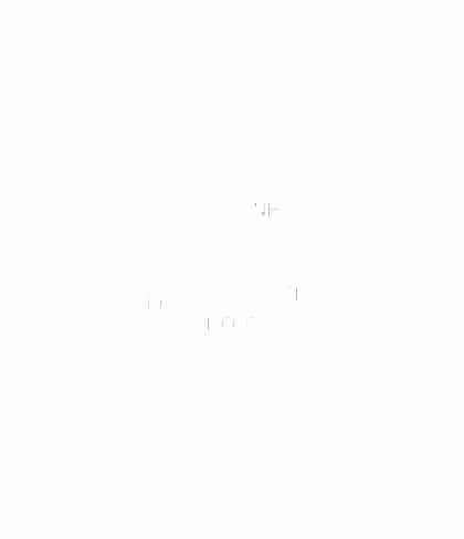 CC(=O)O.CCC1CCNCC1